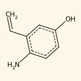 C=Cc1cc(O)ccc1N